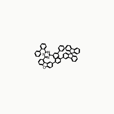 c1ccc(-c2cccc(-c3nc(-c4ccccc4-c4ccccc4)nc(-c4cccc5oc6ccc(-c7ccc(-c8ccc9c(c8)-c8ccccc8C98c9ccccc9-c9ccccc98)cc7)cc6c45)n3)c2)cc1